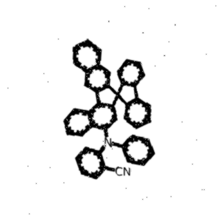 N#Cc1ccccc1N(c1ccccc1)c1cc2c(c3ccccc13)-c1cc3ccccc3cc1C21c2ccccc2-c2ccccc21